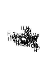 COCC[C@H]1[C@@H](O)[C@H](n2c[n+](C)c3c(=O)[nH]c(N)nc32)O[C@@H]1COP(=O)(O)OP(=O)(O)OP(=O)(O)OCC1O[C@@H](n2cnc3c(N)ncnc32)[C@H](OC)[C@@H]1P(=O)([O-])OC[C@H]1O[C@@H](n2ccc(=O)[nH]c2=O)[C@H](Oc2ccccc2)[C@@H]1O